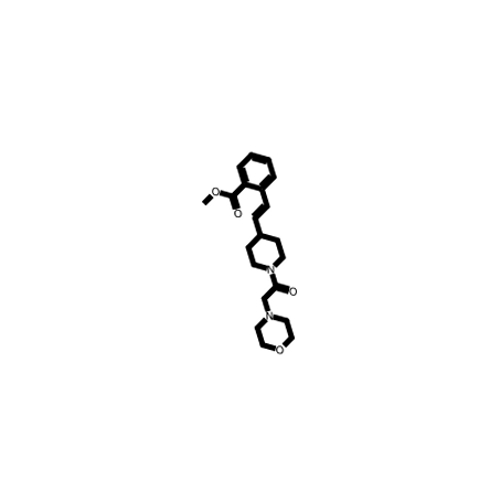 COC(=O)c1ccccc1/C=C/C1CCN(C(=O)CN2CCOCC2)CC1